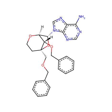 Nc1ncnc2c1ncn2[C@@H]1O[C@@]2(COCc3ccccc3)CCO[C@@H]1[C@@H]2OCc1ccccc1